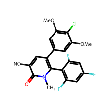 COc1cc(-c2cc(C#N)c(=O)n(C)c2-c2c(F)cc(F)cc2F)cc(OC)c1Cl